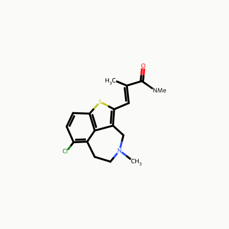 CNC(=O)/C(C)=C/c1sc2ccc(Cl)c3c2c1CN(C)CC3